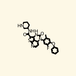 Cc1cc(Oc2ccccc2)c(F)cc1N1C(=O)Nc2c(C(=O)NC3CCCNC3)sc3nccc1c23